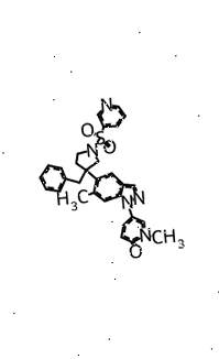 Cc1cc2c(cnn2-c2ccc(=O)n(C)c2)cc1C1(Cc2ccccc2)CCN(S(=O)(=O)c2cccnc2)C1